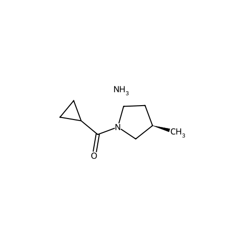 C[C@@H]1CCN(C(=O)C2CC2)C1.N